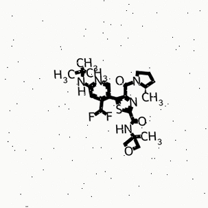 C[C@H]1CCCN1C(=O)c1nc(C(=O)NC2(C)COC2)sc1-c1cnc(NC(C)(C)C)cc1C(F)F